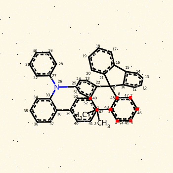 CC1(C)c2ccccc2C2(c3ccccc3-c3ccccc32)c2ccc(N(c3ccccc3)c3ccccc3-c3ccc(-c4ccccc4)cc3)cc21